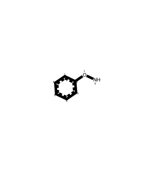 [NH]Oc1ccccc1